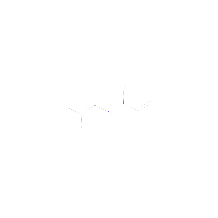 C=CC(O)N[CH]C(C)O